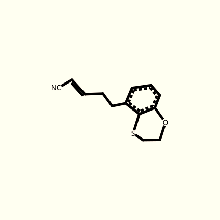 N#CC=CCCc1cccc2c1SCCO2